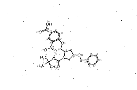 CC(C)(C)OC(=O)N1CC(OCc2ccccc2)CC1COc1ccc(C(=O)O)cc1[N+](=O)[O-]